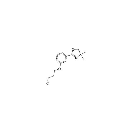 CC1(C)COC(c2cccc(OCCCCl)c2)=N1